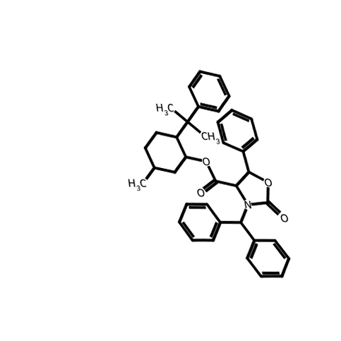 CC1CCC(C(C)(C)c2ccccc2)C(OC(=O)C2C(c3ccccc3)OC(=O)N2C(c2ccccc2)c2ccccc2)C1